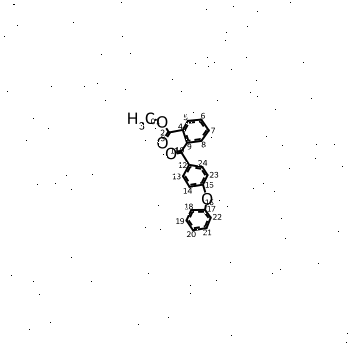 COC(=O)c1ccccc1C(=O)c1ccc(Oc2ccccc2)cc1